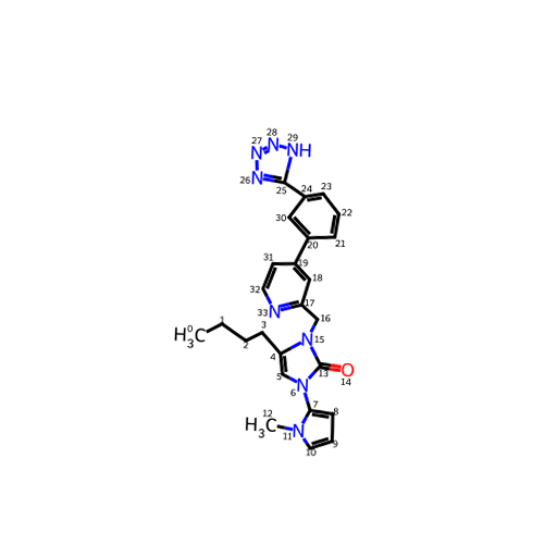 CCCCc1cn(-c2cccn2C)c(=O)n1Cc1cc(-c2cccc(-c3nnn[nH]3)c2)ccn1